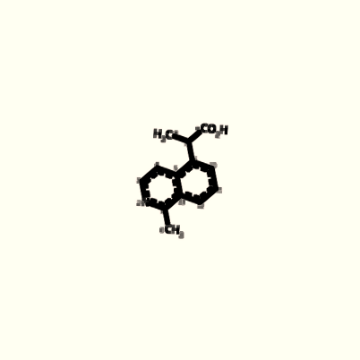 Cc1nccc2c(C(C)C(=O)O)cccc12